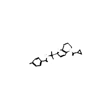 CC(C)(NC(=O)c1ccc(F)cc1)c1ccc2c(n1)CCCN2C(=O)C1CC1